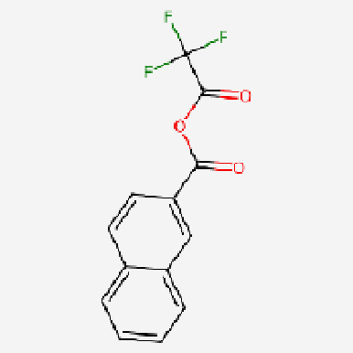 O=C(OC(=O)C(F)(F)F)c1ccc2ccccc2c1